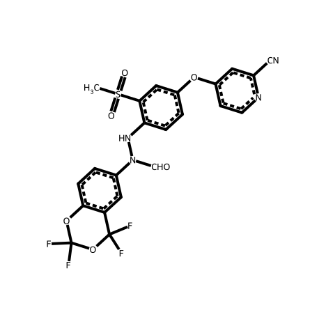 CS(=O)(=O)c1cc(Oc2ccnc(C#N)c2)ccc1NN(C=O)c1ccc2c(c1)C(F)(F)OC(F)(F)O2